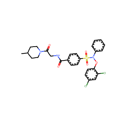 CC1CCN(C(=O)CNC(=O)c2ccc(S(=O)(=O)N(Oc3ccc(Cl)cc3Cl)c3ccccc3)cc2)CC1